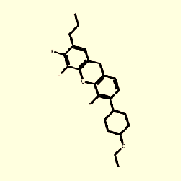 CCCc1cc2c(c(F)c1F)Oc1c(ccc(C3CCC(OCC)CC3)c1F)C2